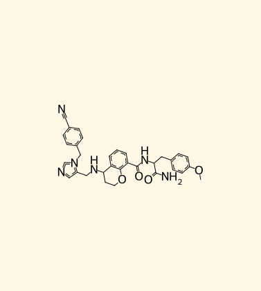 COc1ccc(CC(NC(=O)c2cccc3c2OCCC3NCc2cncn2Cc2ccc(C#N)cc2)C(N)=O)cc1